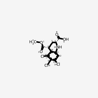 COC(=O)[C@@H]1C[C@H](C(=O)O)Nc2cc(Cl)c(Cl)c(Cl)c21